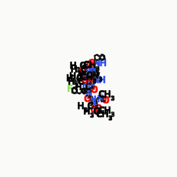 CC1CN(CC(=O)N2C[C@](C)(C(=O)NCC(=O)Nc3ccc4c(c3)CN(C(=O)[C@@H](NC(=O)[C@H](C)N(C)C(=O)OC(C)(C)C)C(C)(C)C)[C@H](C(=O)N[C@@H]3CCCc5ccccc53)C4)c3ccc(Cc4ccc(F)cc4)cc32)C(CN2CCOC[C@H]2C)CN1C(=O)OC(C)(C)C